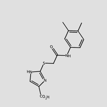 Cc1ccc(NC(=O)CSc2nc(C(=O)O)c[nH]2)cc1C